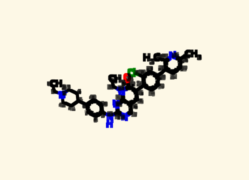 CCN1CCC(c2ccc(Nc3ncc4cc(-c5ccc(-c6ccc(C)nc6C)cc5Cl)c(=O)n(CC)c4n3)cc2)CC1